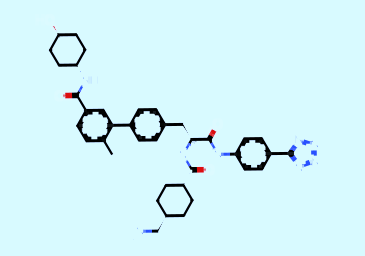 Cc1ccc(C(=O)N[C@H]2CC[C@H](O)CC2)cc1-c1ccc(C[C@H](NC(=O)[C@H]2CC[C@H](CN)CC2)C(=O)Nc2ccc(-c3nn[nH]n3)cc2)cc1